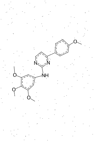 COc1ccc(-c2ccnc(Nc3cc(OC)c(OC)c(OC)c3)n2)cc1